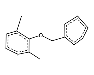 Cc1[c]ccc(C)c1OCc1ccccc1